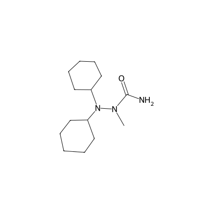 CN(C(N)=O)N(C1CCCCC1)C1CCCCC1